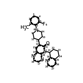 Cc1cccc(F)c1N1CCC(c2cc3nccnc3n(C3CCCc4cccnc43)c2=O)CC1